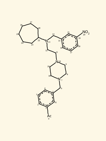 CC(=O)c1cccc(CN2CCN(CCN(Cc3cccc([N+](=O)[O-])c3)C3CCCCCC3)CC2)c1